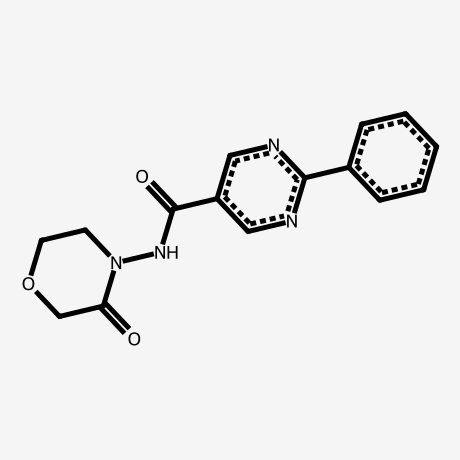 O=C(NN1CCOCC1=O)c1cnc(-c2ccccc2)nc1